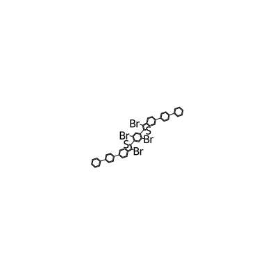 Brc1cc(-c2sc3cc(-c4ccc(-c5ccccc5)cc4)ccc3c2Br)c(Br)cc1-c1sc2cc(-c3ccc(-c4ccccc4)cc3)ccc2c1Br